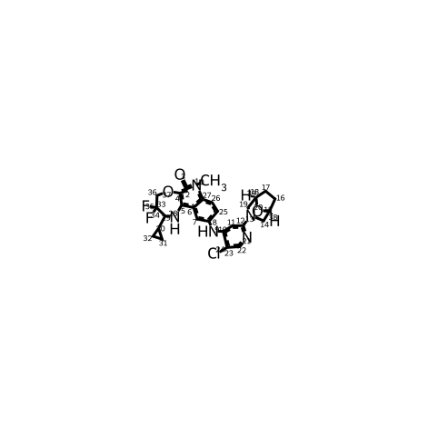 Cn1c(=O)c2c(c3cc(Nc4cc(N5C[C@H]6CC[C@@H](C5)O6)ncc4Cl)ccc31)NC(C1CC1)C(F)(F)CO2